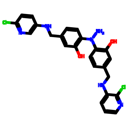 NN(c1ccc(CNc2ccc(Cl)nc2)cc1O)c1ccc(CNc2cccnc2Cl)cc1O